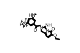 CCOc1ccc2n(c1=O)C(=N)N(CC(=O)c1cc(NC)cc(S(F)(F)(F)(F)F)c1)C2